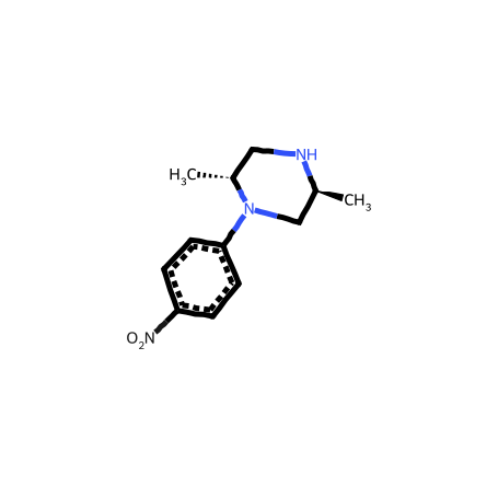 C[C@@H]1CN[C@@H](C)CN1c1ccc([N+](=O)[O-])cc1